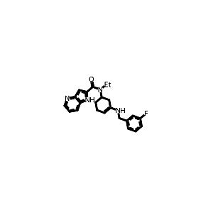 CCN(C(=O)c1cc2ncccc2[nH]1)C1CCC=C(NCc2cccc(F)c2)C1